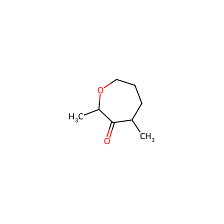 CC1CCCOC(C)C1=O